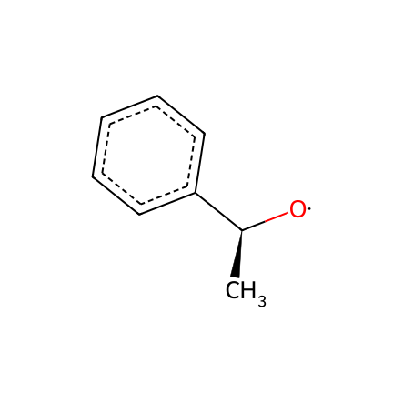 C[C@H]([O])c1ccccc1